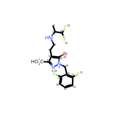 CC(NCCc1c(C(=O)O)nn(Cc2c(F)cccc2F)c1Br)C(F)F